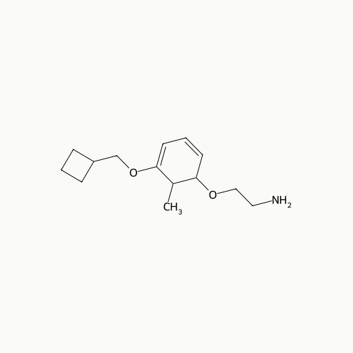 CC1C(OCC2CCC2)=CC=CC1OCCN